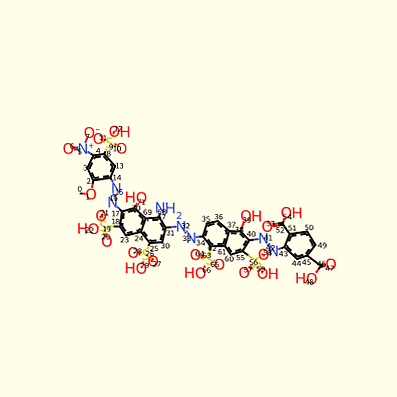 COc1cc([N+](=O)[O-])c(S(=O)(=O)O)cc1N=Nc1c(S(=O)(=O)O)cc2c(S(=O)(=O)O)cc(N=Nc3ccc4c(O)c(N=Nc5cc(C(=O)O)ccc5C(=O)O)c(S(=O)(=O)O)cc4c3S(=O)(=O)O)c(N)c2c1O